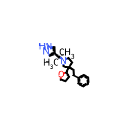 CC(C)(c1cn[nH]c1)N1CCC(CCc2ccccc2)(C2CCCO2)C1